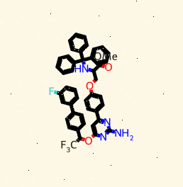 COC(=O)C(COc1ccc(-c2cc(OC(c3ccc(-c4cccc(F)c4)cc3)C(F)(F)F)nc(N)n2)cc1)NC(c1ccccc1)(c1ccccc1)c1ccccc1